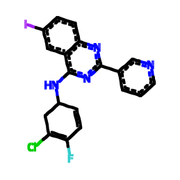 FC1=C(Cl)CC(Nc2nc(-c3cccnc3)nc3ccc(I)cc23)C=C1